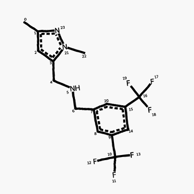 Cc1cc(CNCc2cc(C(F)(F)F)cc(C(F)(F)F)c2)n(C)n1